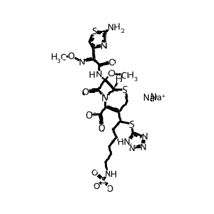 CON=C(C(=O)N[C@]1(OC)C(=O)N2C(C(=O)[O-])=C(C(CCCCCNS(=O)(=O)[O-])Sc3nnn[nH]3)CS[C@H]21)c1csc(N)n1.[Na+].[Na+]